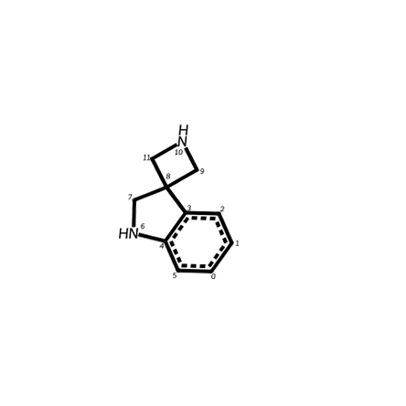 c1ccc2c(c1)NCC21CNC1